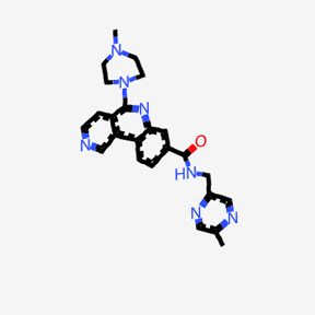 Cc1cnc(CNC(=O)c2ccc3c(c2)nc(N2CCN(C)CC2)c2ccncc23)cn1